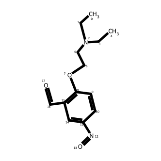 CCN(CC)CCOc1ccc(N=O)cc1C=O